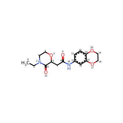 CCN1CCOC(CC(=O)Nc2ccc3c(c2)OCCO3)C1=O